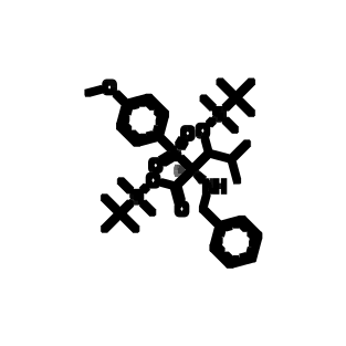 COc1ccc(S(=O)(=O)[C@@](NCc2ccccc2)(C(=O)O[Si](C)(C)C(C)(C)C)C(O[Si](C)(C)C(C)(C)C)C(C)C)cc1